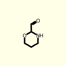 O=CC1NCCCO1